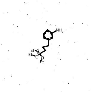 CCO[Si](CCCc1cccc(N)c1)(OCC)OCC